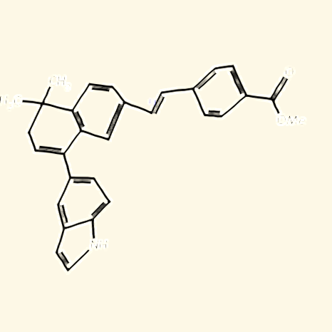 COC(=O)c1ccc(/C=C/c2ccc3c(c2)C(c2ccc4[nH]ccc4c2)=CCC3(C)C)cc1